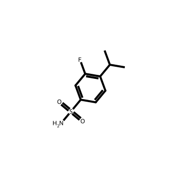 CC(C)c1ccc(S(N)(=O)=O)cc1F